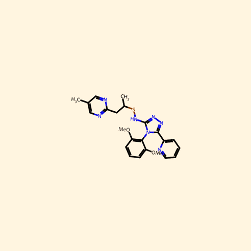 COc1cccc(OC)c1-n1c(NSC(C)Cc2ncc(C)cn2)nnc1-c1ccccn1